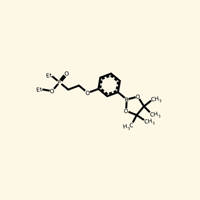 CCOP(=O)(CC)CCOc1cccc(B2OC(C)(C)C(C)(C)O2)c1